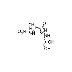 Cn1c([N+](=O)[O-])cnc1/C=C1\SC(NCC(O)CO)=NC1=O